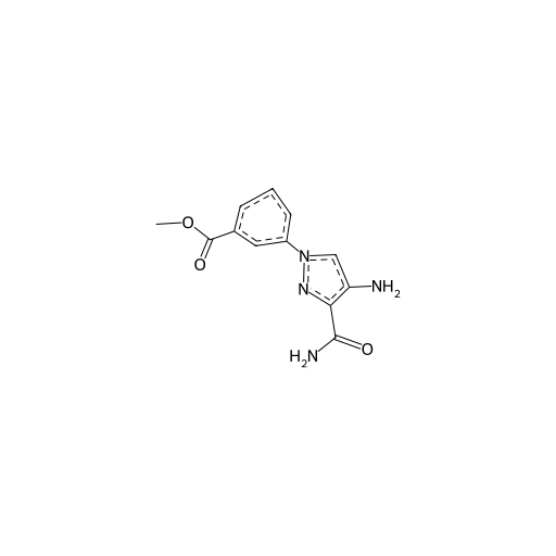 COC(=O)c1cccc(-n2cc(N)c(C(N)=O)n2)c1